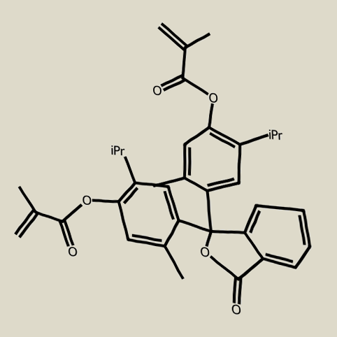 C=C(C)C(=O)Oc1cc(C)c(C2(c3cc(C(C)C)c(OC(=O)C(=C)C)cc3C)OC(=O)c3ccccc32)cc1C(C)C